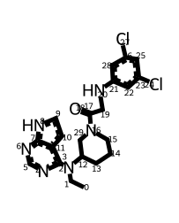 CCN(c1ncnc2[nH]ccc12)C1CCCN(C(=O)CNc2cc(Cl)cc(Cl)c2)C1